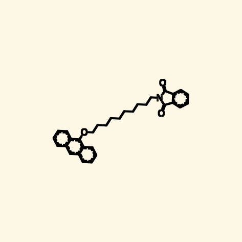 O=C1c2ccccc2C(=O)N1CCCCCCCCCCOc1c2ccccc2cc2ccccc12